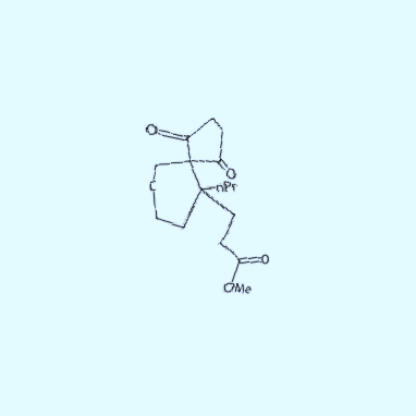 CCCC1(CCC(=O)OC)CCCCC12C(=O)CCC2=O